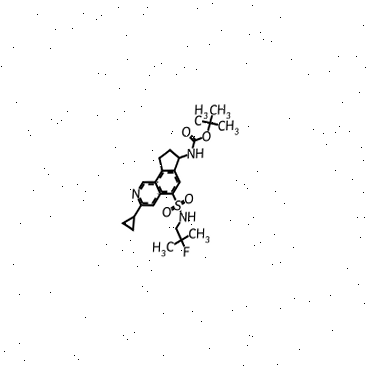 CC(C)(F)CNS(=O)(=O)c1cc2c(c3cnc(C4CC4)cc13)CCC2NC(=O)OC(C)(C)C